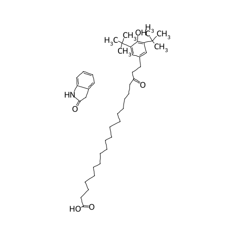 CC(C)(C)c1cc(CCC(=O)CCCCCCCCCCCCCCCCCC(=O)O)cc(C(C)(C)C)c1O.O=C1Cc2ccccc2N1